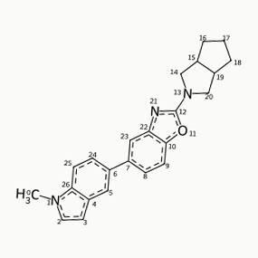 Cn1ccc2cc(-c3ccc4oc(N5CC6CCCC6C5)nc4c3)ccc21